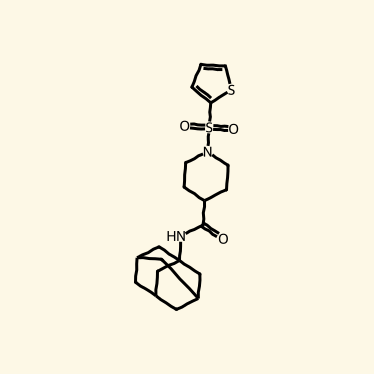 O=C(NC12CC3CC(CC(C3)C1)C2)C1CCN(S(=O)(=O)c2cccs2)CC1